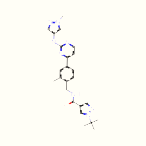 Cc1cc(-c2ccnc(Nc3cnn(C)c3)n2)ccc1CNC(=O)c1cnn(C(C)(C)C)c1